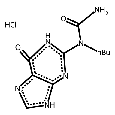 CCCCN(C(N)=O)c1nc2[nH]cnc2c(=O)[nH]1.Cl